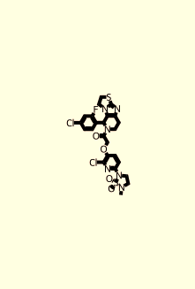 CN1CCN(c2ccc(OCC(=O)N3CCc4nc5n(c4C3c3ccc(Cl)cc3F)CCS5)c(Cl)n2)S1(=O)=O